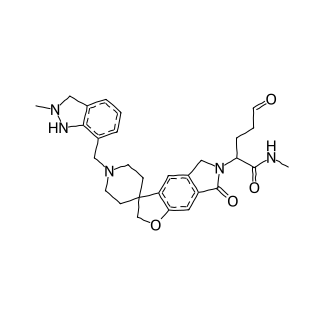 CNC(=O)C(CCC=O)N1Cc2cc3c(cc2C1=O)OCC31CCN(Cc2cccc3c2NN(C)C3)CC1